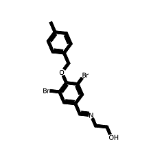 Cc1ccc(COc2c(Br)cc(/C=N/CCO)cc2Br)cc1